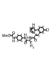 COC(=O)Nc1ccc(NC(=O)[C@H](C)NC(=O)/C=C/c2cc(Cl)ccc2-c2nnn[nH]2)cc1